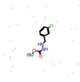 CC(C)(C)OC(=O)NNCc1cccc(Cl)c1